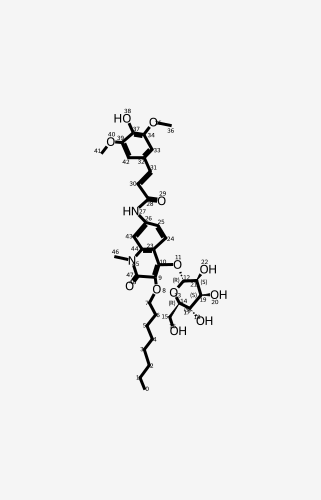 CCCCCCCCOc1c(O[C@H]2O[C@H](CO)[C@@H](O)[C@H](O)[C@@H]2O)c2ccc(NC(=O)C=Cc3cc(OC)c(O)c(OC)c3)cc2n(C)c1=O